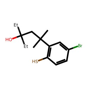 CCC(O)(CC)CC(C)(C)c1cc(Br)ccc1S